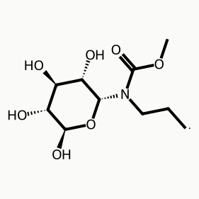 [CH2]CCN(C(=O)OC)[C@@H]1O[C@@H](O)[C@H](O)[C@@H](O)[C@@H]1O